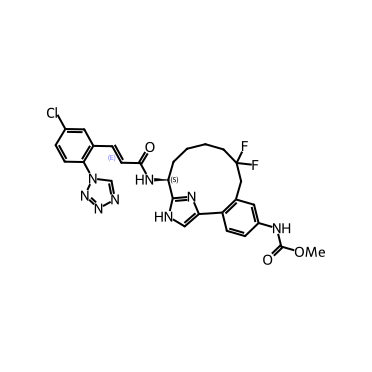 COC(=O)Nc1ccc2c(c1)CC(F)(F)CCCC[C@H](NC(=O)/C=C/c1cc(Cl)ccc1-n1cnnn1)c1nc-2c[nH]1